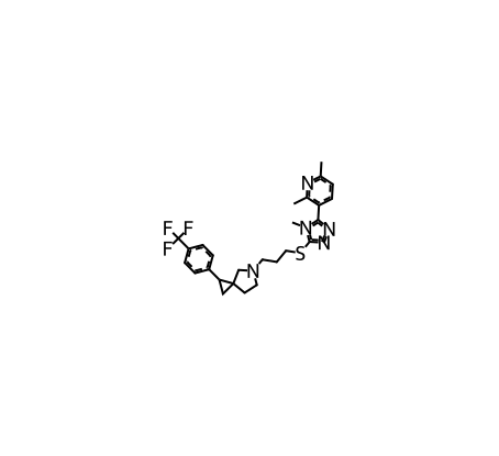 Cc1ccc(-c2nnc(SCCCN3CCC4(CC4c4ccc(C(F)(F)F)cc4)C3)n2C)c(C)n1